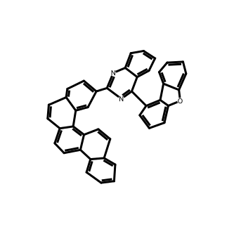 c1ccc2c(c1)ccc1c2ccc2ccc3ccc(-c4nc(-c5cccc6oc7ccccc7c56)c5ccccc5n4)cc3c21